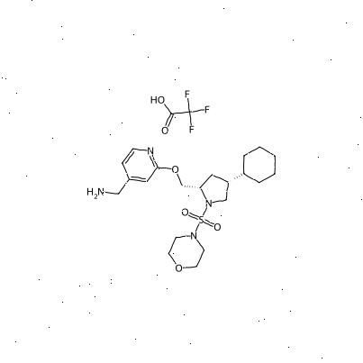 NCc1ccnc(OC[C@@H]2C[C@H](C3CCCCC3)CN2S(=O)(=O)N2CCOCC2)c1.O=C(O)C(F)(F)F